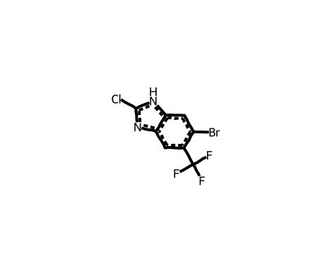 FC(F)(F)c1cc2nc(Cl)[nH]c2cc1Br